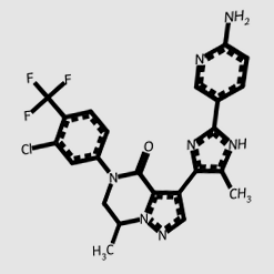 Cc1[nH]c(-c2ccc(N)nc2)nc1-c1cnn2c1C(=O)N(c1ccc(C(F)(F)F)c(Cl)c1)CC2C